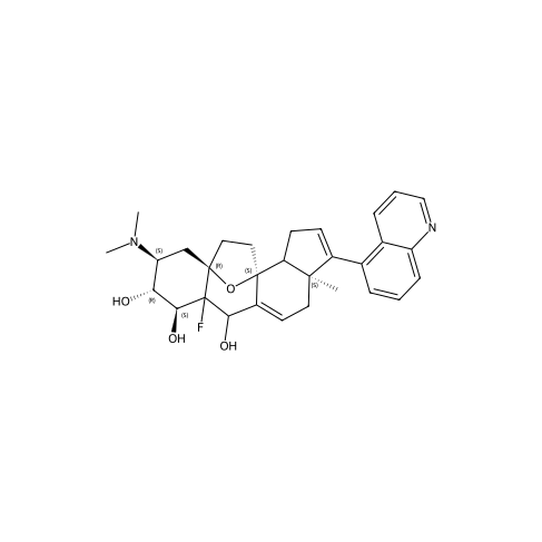 CN(C)[C@H]1C[C@@]23CC[C@@]4(O2)C(=CC[C@]2(C)C(c5cccc6ncccc56)=CCC24)C(O)C3(F)[C@@H](O)[C@@H]1O